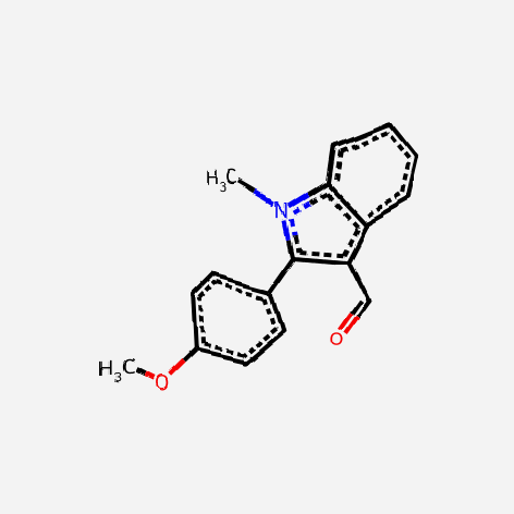 COc1ccc(-c2c(C=O)c3ccccc3n2C)cc1